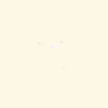 COC(=O)/C=C/N(C)N=C(C)C